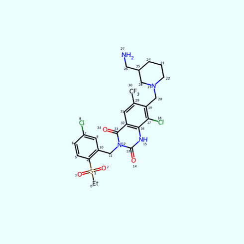 CCS(=O)(=O)c1ccc(Cl)cc1Cn1c(=O)[nH]c2c(Cl)c(CN3CCCC(CN)C3)c(C(F)(F)F)cc2c1=O